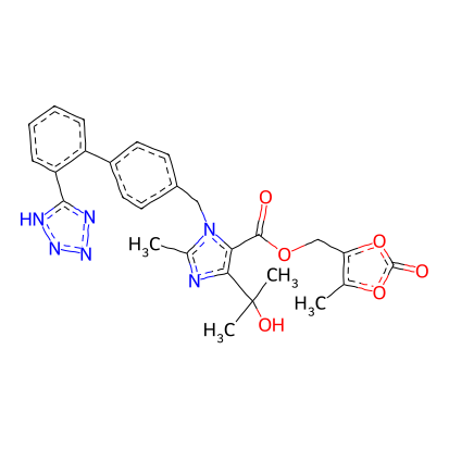 Cc1oc(=O)oc1COC(=O)c1c(C(C)(C)O)nc(C)n1Cc1ccc(-c2ccccc2-c2nnn[nH]2)cc1